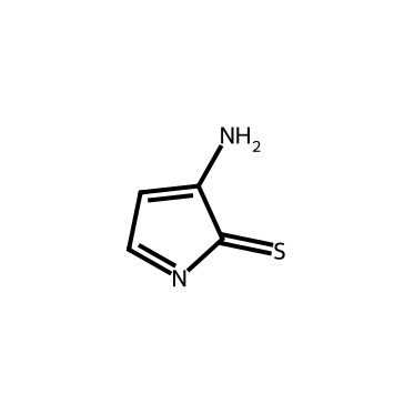 NC1=CC=NC1=S